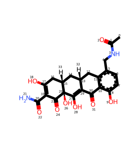 CC(=O)NCc1ccc(O)c2c1C[C@H]1C[C@H]3CC(O)=C(C(N)=O)C(=O)[C@@]3(O)C(O)=C1C2=O